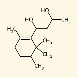 CC1=C(C(O)CC(C)O)C(C)(C)C(C)CC1